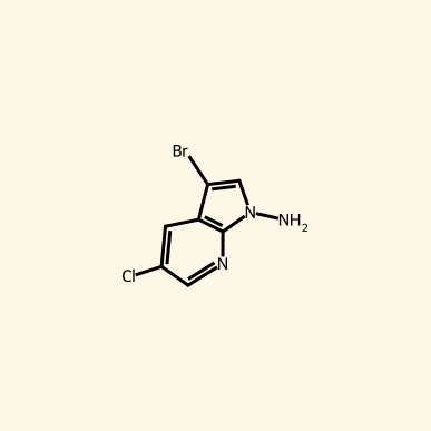 Nn1cc(Br)c2cc(Cl)cnc21